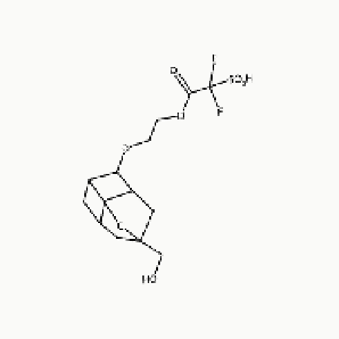 O=C(OCCOC1C2CC3CC1CC(CO)(C3)C2)C(F)(F)S(=O)(=O)O